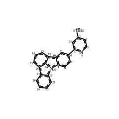 CC(C)(C)c1ccnc(-c2ccc3c(c2)c2cccc4c5ccccc5n3c42)c1